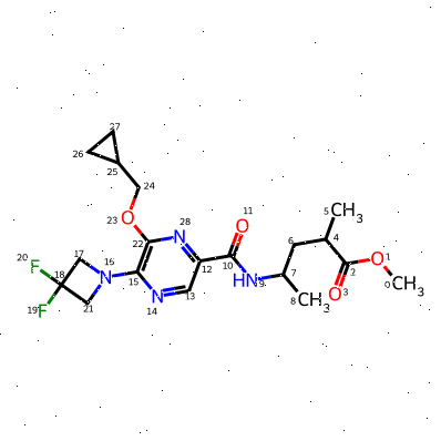 COC(=O)C(C)CC(C)NC(=O)c1cnc(N2CC(F)(F)C2)c(OCC2CC2)n1